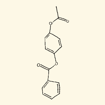 CC(=O)Oc1ccc(OC(=O)c2ccccc2)cc1